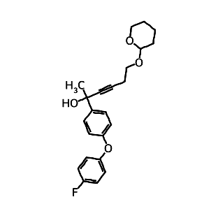 CC(O)(C#CCCOC1CCCCO1)c1ccc(Oc2ccc(F)cc2)cc1